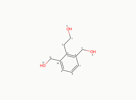 OCCc1c(CO)cccc1CO